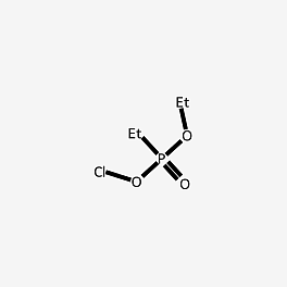 CCOP(=O)(CC)OCl